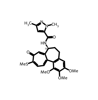 COc1cc2c(c(OC)c1OC)-c1ccc(SC)c(=O)cc1[C@@H](NC(=O)c1cc(C)nn1C)CC2